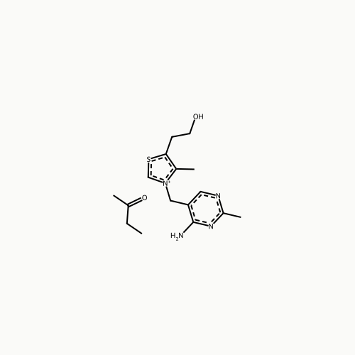 CCC(C)=O.Cc1ncc(C[n+]2csc(CCO)c2C)c(N)n1